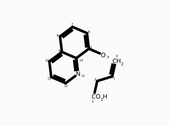 C=CCC(=O)O.[O]c1cccc2cccnc12